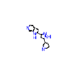 c1cncc(-c2cc(-c3cc4ccncc4[nH]3)n[nH]2)c1